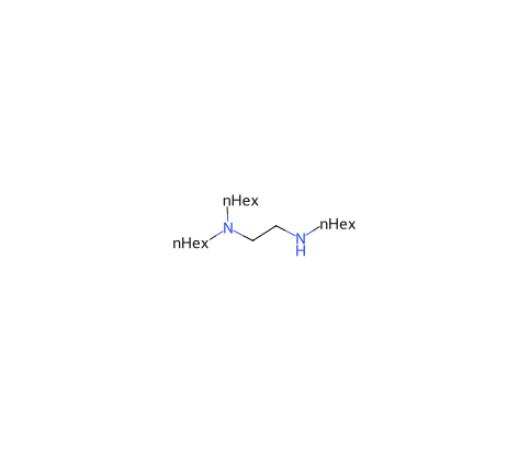 CCCCCCNCCN(CCCCCC)CCCCCC